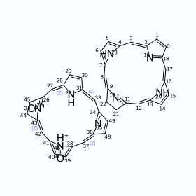 C1=Cc2cc3ccc(cc4nc(cc5ccc(cc1n2)[nH]5)CC4)[nH]3.[O-][N+]1=C2/C=c3/cc/c([nH]3)=C/C3=NC(=C\C4=CC=C(/C=C\1CC2)[NH+]4[O-])/C=C3